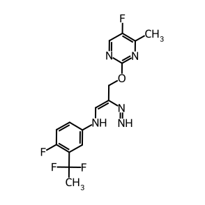 Cc1nc(OC/C(=C/Nc2ccc(F)c(C(C)(F)F)c2)N=N)ncc1F